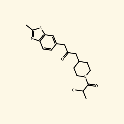 Cc1nc2ccc(CC(=O)CC3CCN(C(=O)C(C)Cl)CC3)cc2s1